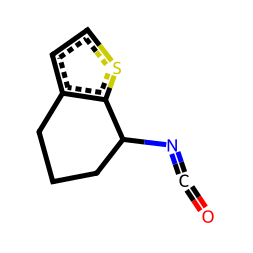 O=C=NC1CCCc2ccsc21